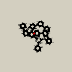 C1=CC(c2ccccc2)=CC(c2ccc(-n3c4ccccc4c4ccccc43)c(-c3cccc(-c4nc(-c5ccccc5)nc(-n5c6ccccc6c6cccc(-c7ccccc7)c65)n4)c3)c2)C1